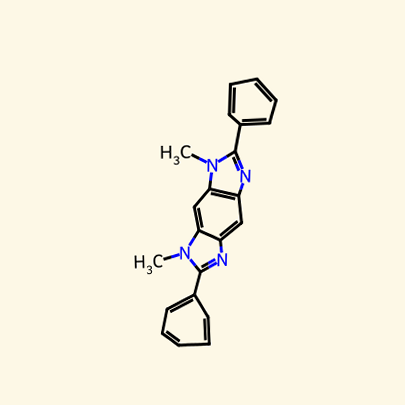 Cn1c(-c2ccccc2)nc2cc3nc(-c4ccccc4)n(C)c3cc21